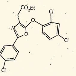 CCOC(=O)Cc1nc(-c2ccc(Cl)cc2)oc1Oc1ccc(Cl)cc1Cl